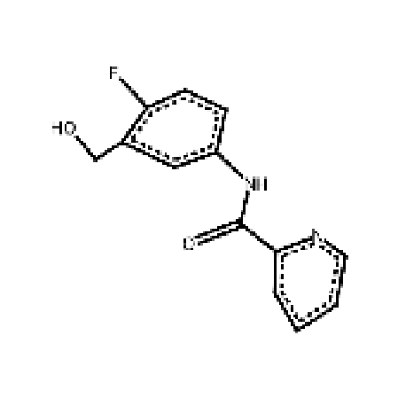 O=C(Nc1ccc(F)c(CO)c1)c1ccccn1